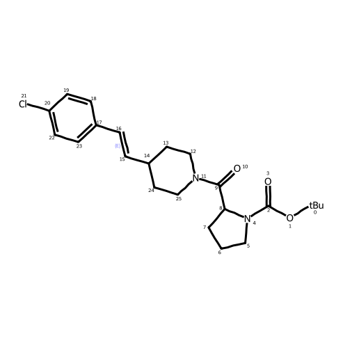 CC(C)(C)OC(=O)N1CCCC1C(=O)N1CCC(/C=C/c2ccc(Cl)cc2)CC1